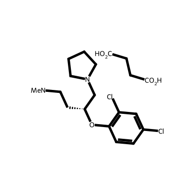 CNCC[C@H](CN1CCCC1)Oc1ccc(Cl)cc1Cl.O=C(O)CCC(=O)O